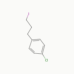 Clc1ccc(CCCI)cc1